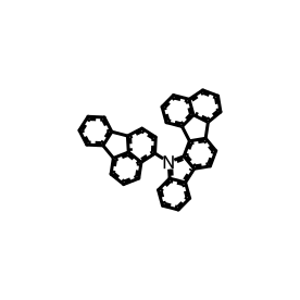 c1ccc2c(c1)-c1cccc3c(-n4c5ccccc5c5ccc6c(c54)-c4cccc5cccc-6c45)ccc-2c13